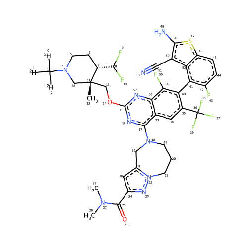 [2H]C([2H])([2H])N1CC[C@H](C(F)F)[C@](C)(COc2nc(N3CCCn4nc(C(=O)N(C)C)cc4C3)c3cc(C(F)(F)F)c(-c4c(F)ccc5sc(N)c(C#N)c45)c(F)c3n2)C1